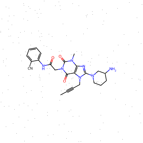 CC#CCn1c(N2CCCC(N)C2)nc2c1c(=O)n(CC(=O)Nc1ccccc1C#N)c(=O)n2C